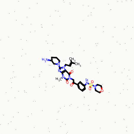 CC(C)=CCn1c(N2CCCC(N)C2)nc2c1c(=O)n(CC(=O)c1cccc(NS(=O)(=O)N3CCOCC3)c1)c(=O)n2C